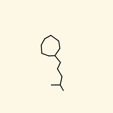 CC(C)CCCC1CCCCCCC1